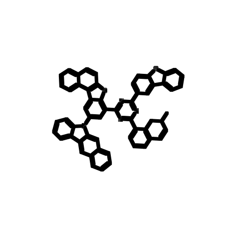 CC1C=Cc2cccc(-c3nc(-c4ccc5oc6ccccc6c5c4)nc(-c4cc(-n5c6ccccc6c6cc7ccccc7cc65)cc5c4oc4ccc6ccccc6c45)n3)c2C1